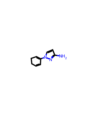 Nc1ccn(C2=CCCC=C2)n1